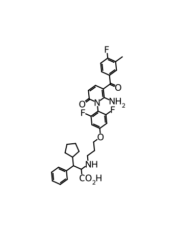 Cc1cc(C(=O)c2ccc(=O)n(-c3c(F)cc(OCCCNC(C(=O)O)C(c4ccccc4)C4CCCC4)cc3F)c2N)ccc1F